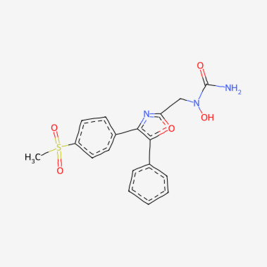 CS(=O)(=O)c1ccc(-c2nc(CN(O)C(N)=O)oc2-c2ccccc2)cc1